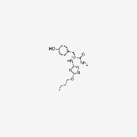 CCCCOc1nsc(N[C@@H](Cc2ccc(O)cc2)C(N)=O)n1